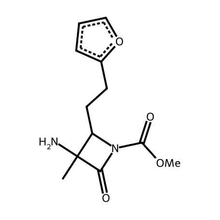 COC(=O)N1C(=O)C(C)(N)C1CCc1ccco1